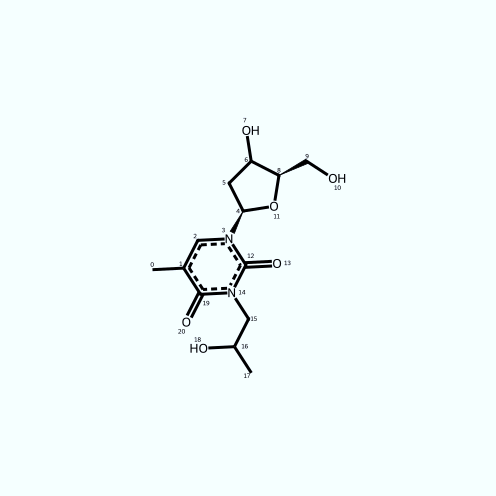 Cc1cn([C@H]2CC(O)[C@@H](CO)O2)c(=O)n(CC(C)O)c1=O